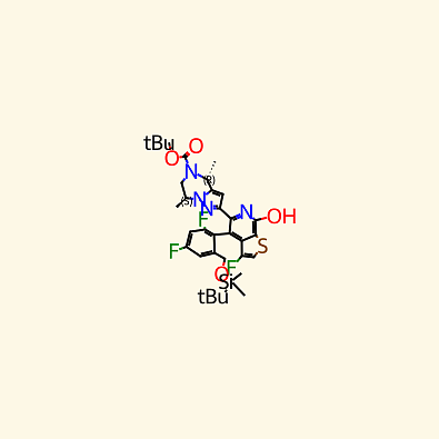 C[C@@H]1c2cc(-c3nc(O)c4scc(F)c4c3-c3c(F)cc(F)cc3CO[Si](C)(C)C(C)(C)C)nn2[C@@H](C)CN1C(=O)OC(C)(C)C